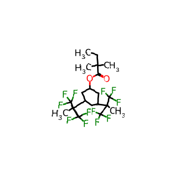 CCC(C)(C)C(=O)OC1CC(C(C)(C(F)(F)F)C(F)(F)F)CC(C(C)(C(F)(F)F)C(F)(F)F)C1